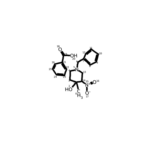 CC1(O)CCN(Cc2ccccc2)CC1[N+](=O)[O-].O=C(O)c1ccccc1